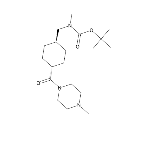 CN1CCN(C(=O)[C@H]2CC[C@H](CN(C)C(=O)OC(C)(C)C)CC2)CC1